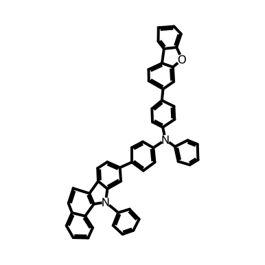 c1ccc(N(c2ccc(-c3ccc4c(c3)oc3ccccc34)cc2)c2ccc(-c3ccc4c5ccc6ccccc6c5n(-c5ccccc5)c4c3)cc2)cc1